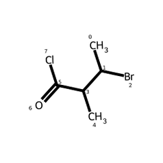 CC(Br)C(C)C(=O)Cl